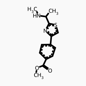 CNC(C)c1nc(-c2ccc(C(=O)OC)cc2)cs1